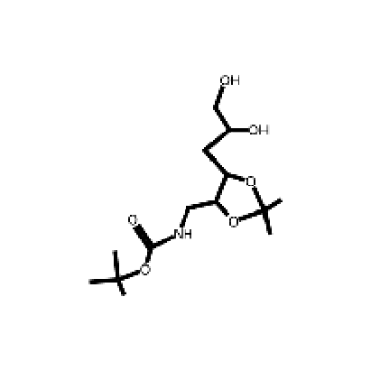 CC(C)(C)OC(=O)NCC1OC(C)(C)OC1CC(O)CO